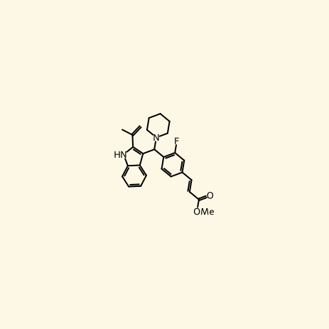 C=C(C)c1[nH]c2ccccc2c1C(c1ccc(C=CC(=O)OC)cc1F)N1CCCCC1